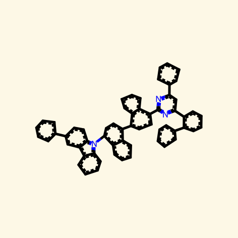 c1ccc(-c2ccc3c(c2)c2ccccc2n3-c2ccc(-c3ccc(-c4nc(-c5ccccc5)cc(-c5ccccc5-c5ccccc5)n4)c4ccccc34)c3ccccc23)cc1